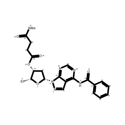 CC[C@H]1O[C@@H](n2ncc3c(NC(=O)c4ccccc4)ncnc32)C[C@H]1OC(=O)CCC(=O)NC